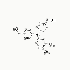 Cc1ccc(N(C2=CCC(=CO)C=C2)C2=CCC(=CO)C=C2)cc1C